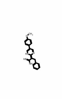 COc1ccc(C2=CN/C(=C(/Cc3ccccc3)C(=N)N)N=C2)cc1